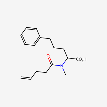 C=CCCC(=O)N(C)C(CCCc1ccccc1)C(=O)O